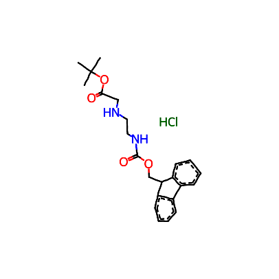 CC(C)(C)OC(=O)CNCCNC(=O)OCC1c2ccccc2-c2ccccc21.Cl